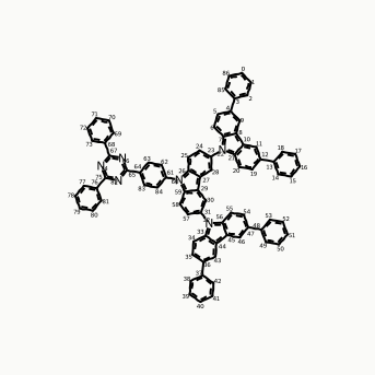 c1ccc(-c2ccc3c(c2)c2cc(-c4ccccc4)ccc2n3-c2ccc3c(c2)c2cc(-n4c5ccc(-c6ccccc6)cc5c5cc(-c6ccccc6)ccc54)ccc2n3-c2ccc(-c3nc(-c4ccccc4)nc(-c4ccccc4)n3)cc2)cc1